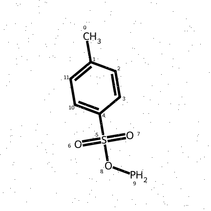 Cc1ccc(S(=O)(=O)OP)cc1